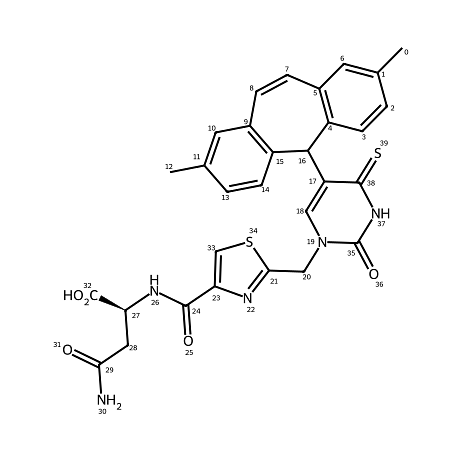 Cc1ccc2c(c1)C=Cc1cc(C)ccc1C2c1cn(Cc2nc(C(=O)N[C@@H](CC(N)=O)C(=O)O)cs2)c(=O)[nH]c1=S